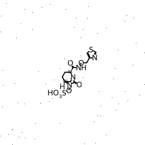 O=C(NOCc1cscn1)[C@@H]1CC[C@@H]2CN1C(=O)N2OS(=O)(=O)O